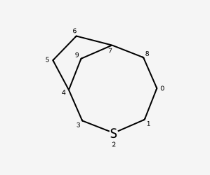 C1CSCC2CCC(C1)C2